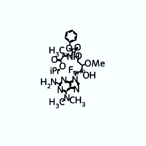 COC(COP(=O)(N[C@@H](C)C(=O)OC(C)C)Oc1ccccc1)[C@@H](O)[C@@H](F)n1cnc2c(N(C)C)nc(N)nc21